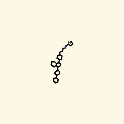 C1=C(CCC/C=C/C2=NCCC2)CCC(C2=c3ccccc3=C(C3=CC=C(c4ccccc4)CC3)CC2)=C1